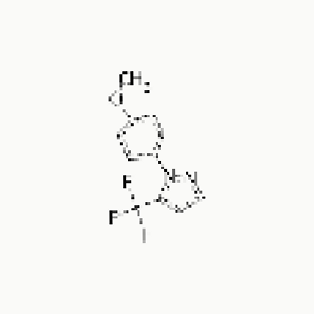 COc1ccc(-n2nccc2C(F)(F)F)cc1